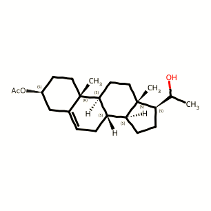 CC(=O)O[C@H]1CC[C@@]2(C)C(=CC[C@H]3[C@@H]4CC[C@H](C(C)O)[C@@]4(C)CC[C@@H]32)C1